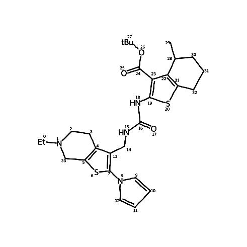 CCN1CCc2c(sc(-n3cccc3)c2CNC(=O)Nc2sc3c(c2C(=O)OC(C)(C)C)C(C)CCC3)C1